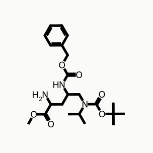 COC(=O)C(N)CC(CN(C(=O)OC(C)(C)C)C(C)C)NC(=O)OCc1ccccc1